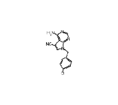 N#Cc1cn(Cc2ccc(Cl)cc2)c2ncnc(N)c12